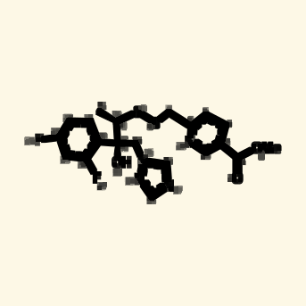 COC(=O)c1ccc(CSS[C@H](C)[C@](O)(Cn2cncn2)c2ccc(F)cc2F)nc1